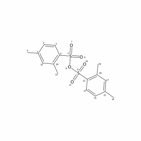 Cc1ccc(S(=O)(=O)OS(=O)(=O)c2ccc(C)cc2C)c(C)c1